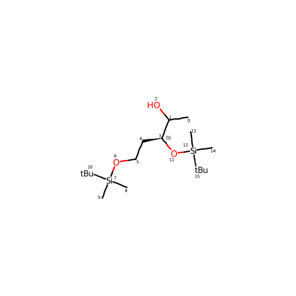 CC(O)[C@H](CCO[Si](C)(C)C(C)(C)C)O[Si](C)(C)C(C)(C)C